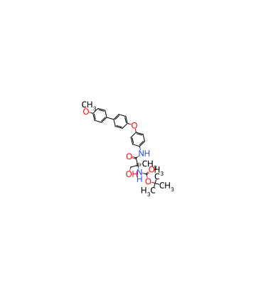 COc1ccc(-c2ccc(Oc3ccc(NC(=O)[C@](C)(CO)NC(=O)OC(C)(C)C)cc3)cc2)cc1